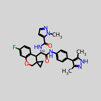 Cc1n[nH]c(C)c1-c1ccc(NC(=O)[C@@H](NC(=O)c2ccnn2C)C2c3ccc(F)cc3OCC23CC3)cc1